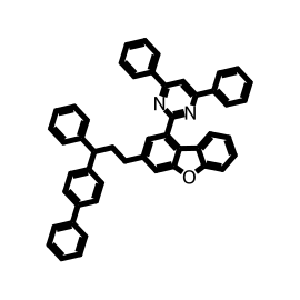 c1ccc(-c2ccc(C(CCc3cc(-c4nc(-c5ccccc5)cc(-c5ccccc5)n4)c4c(c3)oc3ccccc34)c3ccccc3)cc2)cc1